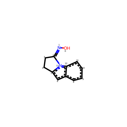 ON=C1CCc2cc3ccccc3n21